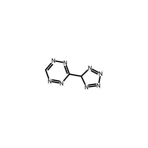 c1nnc(C2N=NN=N2)nn1